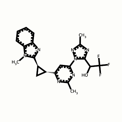 Cc1nc([C@@H]2C[C@H]2c2nc3ccccc3n2C)cc(-n2nc(C)nc2C(O)C(F)(F)F)n1